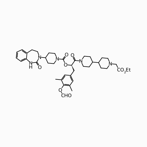 CCOC(=O)CN1CCC(C2CCN(C(=O)[C@@H](Cc3cc(C)c(OC=O)c(C)c3)OC(=O)N3CCC(N4CCc5ccccc5NC4=O)CC3)CC2)CC1